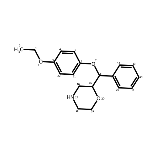 CCOc1ccc(OC(c2ccccc2)C2CNCCO2)cc1